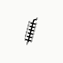 FCC(F)(F)C(F)(F)C(F)(F)C(F)(F)C(F)(F)C(F)(F)I